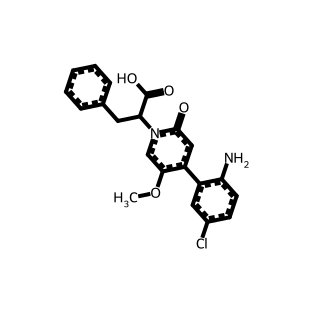 COc1cn(C(Cc2ccccc2)C(=O)O)c(=O)cc1-c1cc(Cl)ccc1N